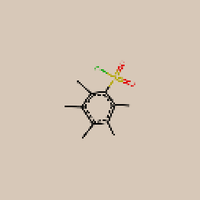 Cc1c(C)c(C)c(S(=O)(=O)Cl)c(C)c1C